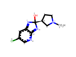 O=C(O)N1CC[C@H](C2(O)N=c3cc(Cl)cnc3=N2)C1